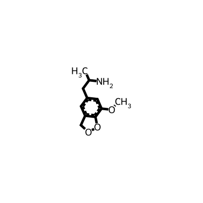 COc1cc(CC(C)N)cc2c1OOC2